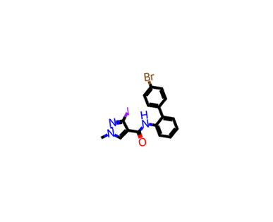 Cn1cc(C(=O)Nc2ccccc2-c2ccc(Br)cc2)c(I)n1